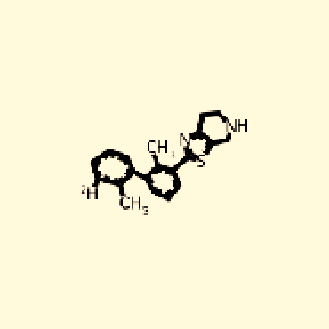 [2H]c1cccc(-c2cccc(-c3nc4c(s3)CNCC4)c2C)c1C